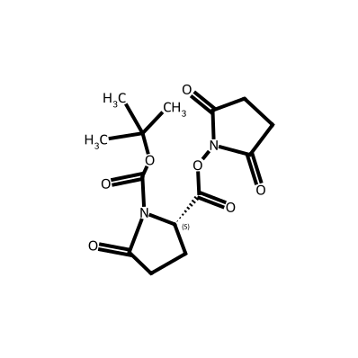 CC(C)(C)OC(=O)N1C(=O)CC[C@H]1C(=O)ON1C(=O)CCC1=O